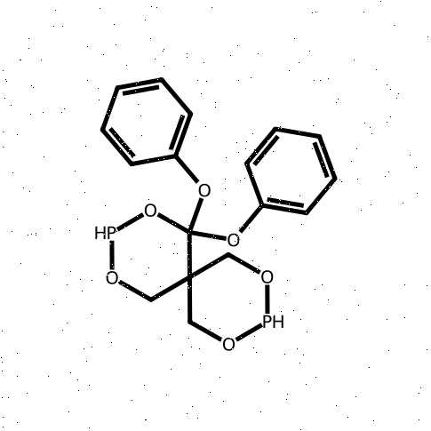 c1ccc(OC2(Oc3ccccc3)OPOCC23COPOC3)cc1